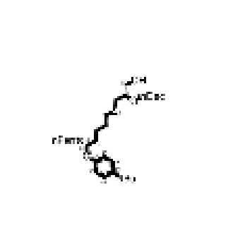 CCCCCCCCCCO[C@@H](CO)CSCCCC[C@@H](CCCCC)Oc1ccc(C(C)(C)C)cc1